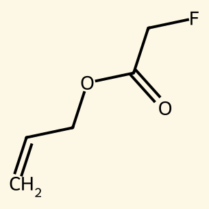 C=CCOC(=O)CF